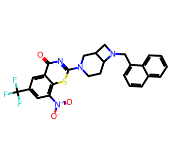 O=c1nc(N2CCC3C(C2)CN3Cc2cccc3ccccc23)sc2c([N+](=O)[O-])cc(C(F)(F)F)cc12